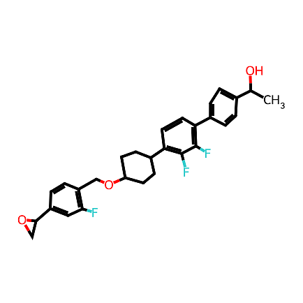 CC(O)c1ccc(-c2ccc(C3CCC(OCc4ccc(C5CO5)cc4F)CC3)c(F)c2F)cc1